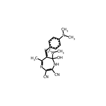 CC1=NC(C#N)=C(C#N)NC(O)(N(C)C)/C1=C\c1ccc(N(C)C)cc1